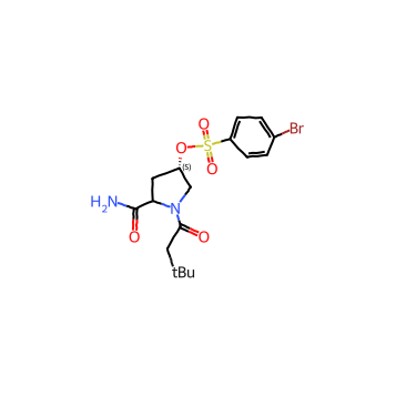 CC(C)(C)CC(=O)N1C[C@@H](OS(=O)(=O)c2ccc(Br)cc2)CC1C(N)=O